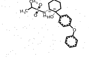 CC(C)S(=O)(=O)N[C@@H]1CCCC[C@@]1(O)c1ccc(Oc2ccccc2)cc1